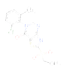 CCS(=O)(=O)c1nc2ncn(-c3c(C)cccc3Cl)c(=O)c2s1